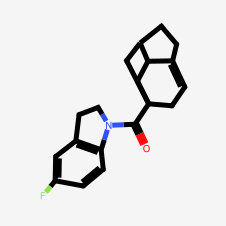 O=C(N1CCc2cc(F)ccc21)C12CC=C3CCC(C1)C3C2